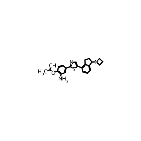 CC(C)Oc1ccc(-c2ncc(-c3cccc4c3CCC4N3CCC3)s2)cc1N